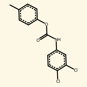 Cc1ccc(OC(=O)Nc2ccc(Cl)c(Cl)c2)cc1